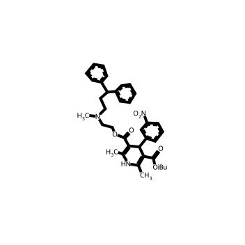 CC1=C(C(=O)OCCN(C)CCC(c2ccccc2)c2ccccc2)C(c2cccc([N+](=O)[O-])c2)C(C(=O)OCC(C)C)=C(C)N1